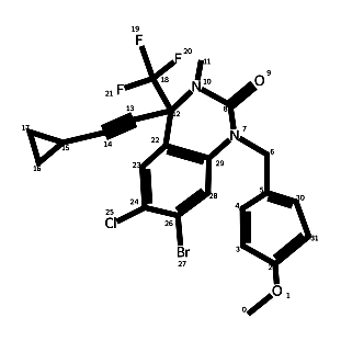 COc1ccc(CN2C(=O)N(C)C(C#CC3CC3)(C(F)(F)F)c3cc(Cl)c(Br)cc32)cc1